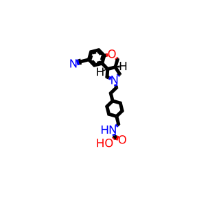 N#Cc1ccc2c(c1)[C@@H]1CN(CCC3CCC(CNC(=O)O)CC3)C[C@H]1CO2